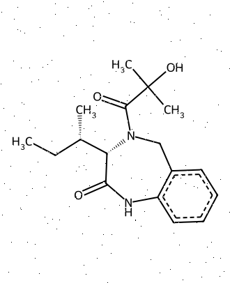 CC[C@H](C)[C@H]1C(=O)Nc2ccccc2CN1C(=O)C(C)(C)O